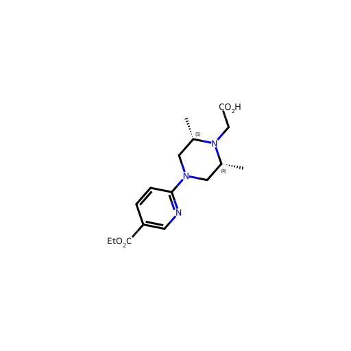 CCOC(=O)c1ccc(N2C[C@@H](C)N(CC(=O)O)[C@@H](C)C2)nc1